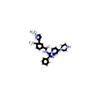 Cn1ccc(-c2cc(C(=O)Nc3c(-c4ccccc4)nc4cc(N5CCNCC5)ccn34)ccc2C(F)(F)F)n1